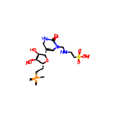 C=P(C)(C)CC[C@H]1O[C@@H](C2=CN(CNCCS(=O)(=O)O)C(=O)NC2)[C@H](O)[C@@H]1O